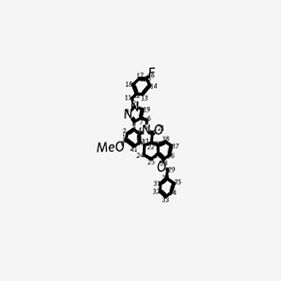 COc1ccc(N(Cc2cnn(Cc3ccc(F)cc3)c2)C(=O)C2CCCc3c(OCc4ccccc4)cccc32)cc1